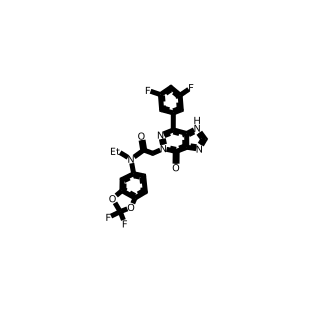 CCN(C(=O)Cn1nc(-c2cc(F)cc(F)c2)c2[nH]cnc2c1=O)c1ccc2c(c1)OC(F)(F)O2